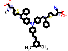 [C-]#[N+]/C(=C\c1ccc(/C(=C/c2ccc(N(c3ccc(/C=C/c4cc(C)cc(C)c4)cc3)c3ccc(/C=C(\c4ccccc4)c4ccc(/C=C(\C#N)C(=O)O)s4)cc3)cc2)c2ccccc2)s1)C(=O)O